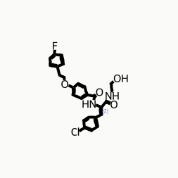 O=C(NCCO)/C(=C/c1ccc(Cl)cc1)NC(=O)c1ccc(OCCc2ccc(F)cc2)cc1